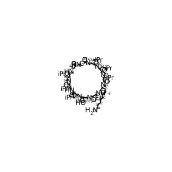 CC[C@@H]1NC(=O)C(C[C@H](C)CCCCCCN)N(C)C(=O)[C@H](C(C)C)N(C)C(=O)[C@H](CC(C)C)N(C)C(=O)[C@@H](CC(C)C)N(C)C(=O)CNC(=O)[C@H](C)NC(=O)[C@H](CC(C)C)N(C)C(=O)[C@H](C(C)C)NC(=O)[C@H](CC(C)C)N(C)C(=O)[C@@H](CO)N(C)C1=O